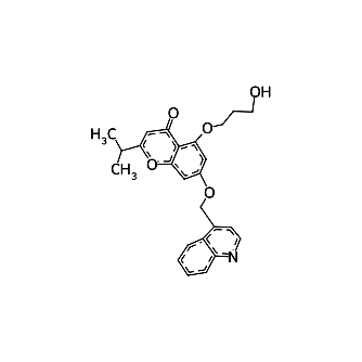 CC(C)c1cc(=O)c2c(OCCCO)cc(OCc3ccnc4ccccc34)cc2o1